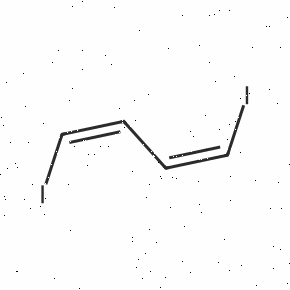 I/C=C\C=C/I